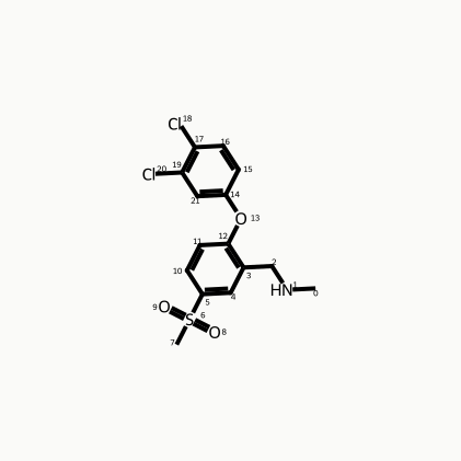 CNCc1cc(S(C)(=O)=O)ccc1Oc1ccc(Cl)c(Cl)c1